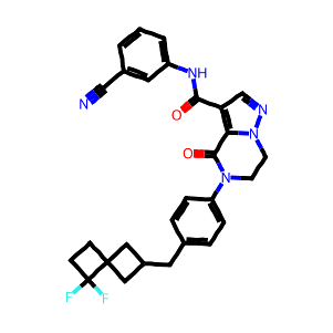 N#Cc1cccc(NC(=O)c2cnn3c2C(=O)N(c2ccc(CC4CC5(CCC5(F)F)C4)cc2)CC3)c1